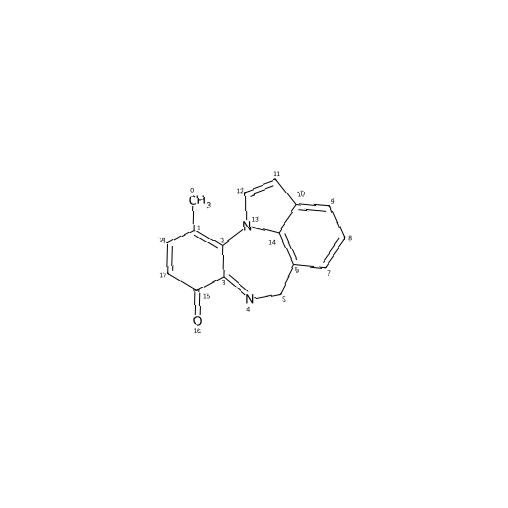 CC1=C2C(=NCc3cccc4ccn2c34)C(=O)C=C1